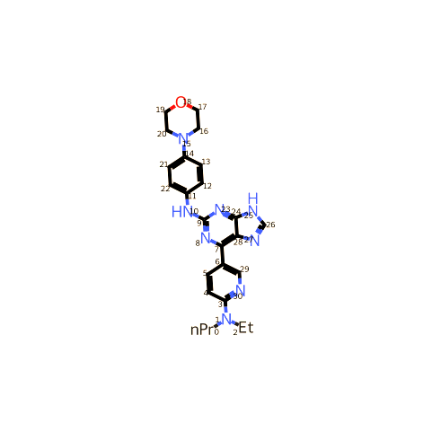 CCCN(CC)c1ccc(-c2nc(Nc3ccc(N4CCOCC4)cc3)nc3[nH]cnc23)cn1